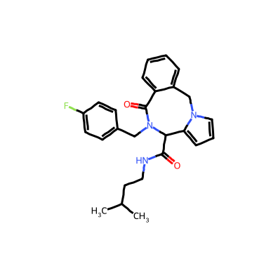 CC(C)CCNC(=O)C1c2cccn2Cc2ccccc2C(=O)N1Cc1ccc(F)cc1